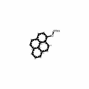 CCCCCCOc1ccc2ccc3cccc4ccc1c2c34